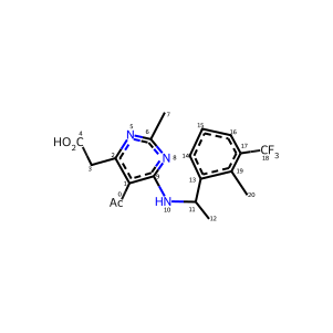 CC(=O)c1c(CC(=O)O)nc(C)nc1NC(C)c1cccc(C(F)(F)F)c1C